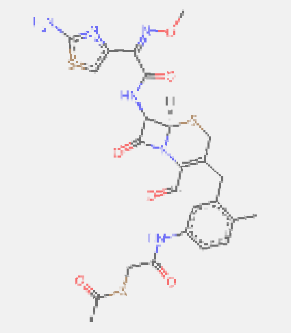 CO/N=C(\C(=O)N[C@@H]1C(=O)N2C([C]=O)=C(Cc3cc(NC(=O)CSC(C)=O)ccc3C)CS[C@H]12)c1csc(N)n1